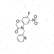 O=C1COc2cc(F)c([N+](=O)[O-])cc2N1Cc1ccccn1